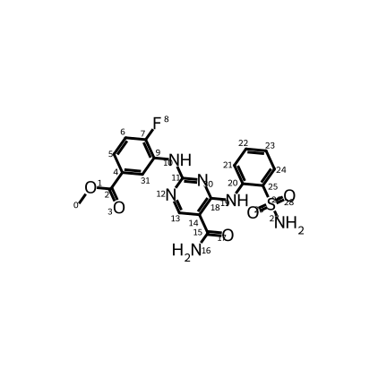 COC(=O)c1ccc(F)c(Nc2ncc(C(N)=O)c(Nc3ccccc3S(N)(=O)=O)n2)c1